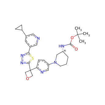 CC(C)(C)OC(=O)N[C@@H]1CCCN(c2ccc(C3(c4nnc(-c5cncc(C6CC6)c5)s4)COC3)nc2)C1